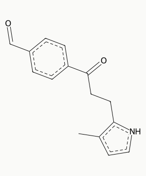 Cc1cc[nH]c1CCC(=O)c1ccc(C=O)cc1